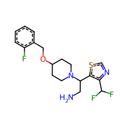 NCC(c1scnc1C(F)F)N1CCC(OCc2ccccc2F)CC1